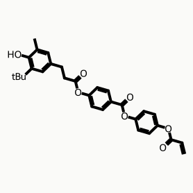 C=CC(=O)Oc1ccc(OC(=O)c2ccc(OC(=O)CCc3cc(C)c(O)c(C(C)(C)C)c3)cc2)cc1